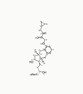 CCCCC[C@@H](O)CC[C@@H]1[C@H]2Cc3cccc(OCC(=O)NCC4CC4)c3C[C@H]2C[C@H]1O